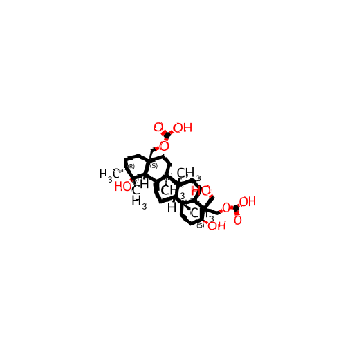 C[C@@H]1CC[C@]2(COC(=O)O)CC[C@]3(C)C(=CC[C@@H]4[C@@]5(C)CC[C@H](O)C(CO)(COC(=O)O)C5CC[C@]43C)[C@@H]2[C@]1(C)O